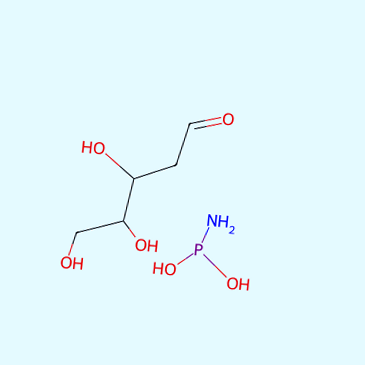 NP(O)O.O=CCC(O)C(O)CO